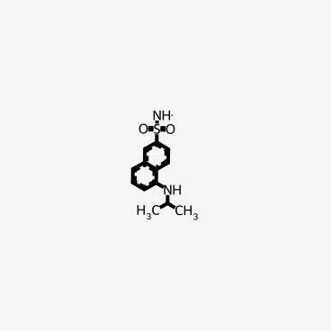 CC(C)Nc1cccc2cc(S([NH])(=O)=O)ccc12